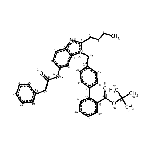 CCCCc1nc2ccc(NC(=O)Cc3ccccc3)cc2n1Cc1ccc(-c2ccccc2C(=O)OC(C)(C)C)cc1